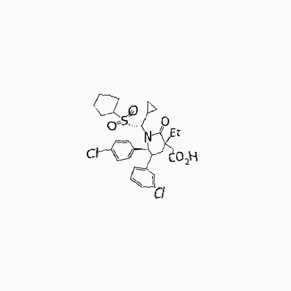 CC[C@@]1(CC(=O)O)CC(c2cccc(Cl)c2)[C@@H](c2ccc(Cl)cc2)N([C@H](CS(=O)(=O)C2CCCCC2)C2CC2)C1=O